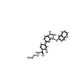 O=C(NOCCO)c1ccc(-c2ccc3c(n2)N(Cc2ccc4ncccc4c2)NN3)cc1F